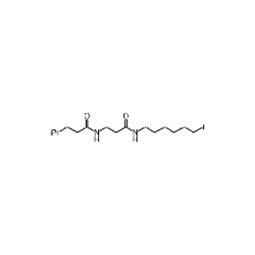 CC(C)CCC(=O)NCCC(=O)NCCCCCCI